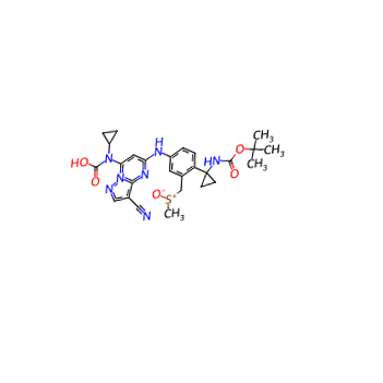 C[S+]([O-])Cc1cc(Nc2cc(N(C(=O)O)C3CC3)n3ncc(C#N)c3n2)ccc1C1(NC(=O)OC(C)(C)C)CC1